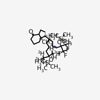 [2H]C([2H])([2H])C(CCC[C@](C)(C/C=C\C(O[Si](C)(C)C)(C(F)(F)F)C(F)(F)F)[C@H]1CCC2C(=O)CCC[C@@]21C)(O[Si](C)(C)C)C([2H])([2H])[2H]